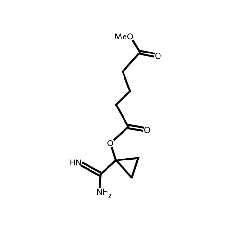 COC(=O)CCCC(=O)OC1(C(=N)N)CC1